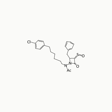 CC(=O)N(CCCCCCc1ccc(Cl)cc1)N1C(=O)C(=S=O)C1Cc1ccccc1